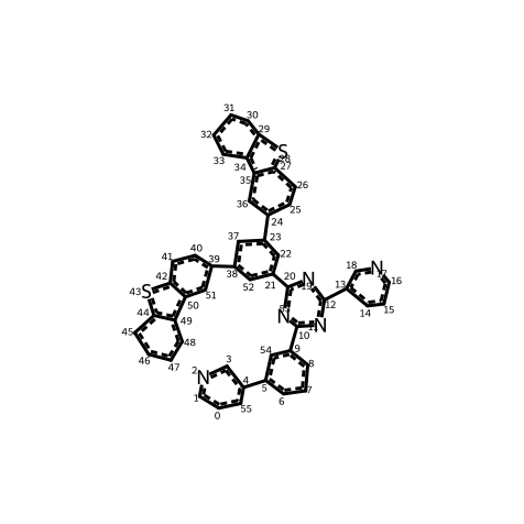 c1cncc(-c2cccc(-c3nc(-c4cccnc4)nc(-c4cc(-c5ccc6sc7ccccc7c6c5)cc(-c5ccc6sc7ccccc7c6c5)c4)n3)c2)c1